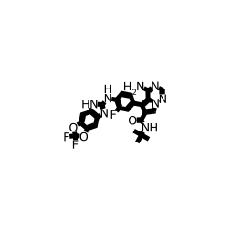 CC(C)(C)NC(=O)c1cn2ncnc(N)c2c1-c1ccc(Nc2nc3cc4c(cc3[nH]2)OC(F)(F)O4)c(F)c1